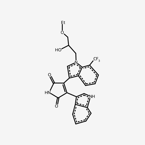 CCOCC(O)Cn1cc(C2=C(c3c[nH]c4ccccc34)C(=O)NC2=O)c2cccc(C(F)(F)F)c21